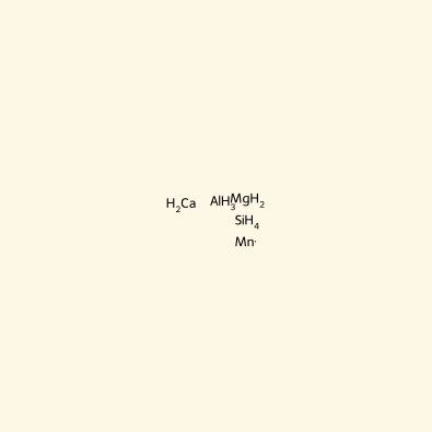 [AlH3].[CaH2].[MgH2].[Mn].[SiH4]